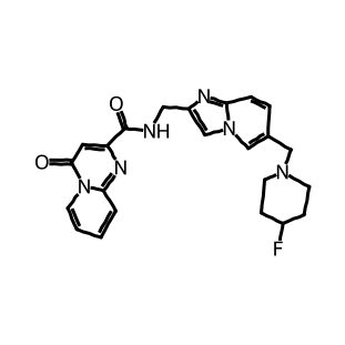 O=C(NCc1cn2cc(CN3CCC(F)CC3)ccc2n1)c1cc(=O)n2ccccc2n1